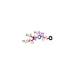 CCOC(=O)c1nc(N2CCC(NC(=O)OCc3ccccc3)C(OC)C2)oc1CC